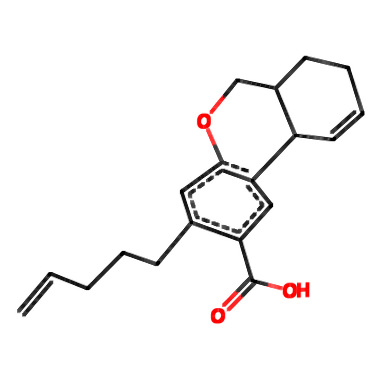 C=CCCCc1cc2c(cc1C(=O)O)C1C=CCCC1CO2